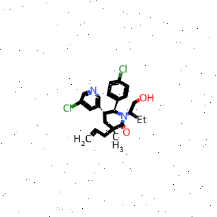 C=CC[C@@]1(C)C[C@H](c2cncc(Cl)c2)[C@@H](c2ccc(Cl)cc2)N(C(CC)CO)C1=O